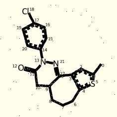 Cc1cc2c(s1)CCCC1CC(=O)N(c3ccc(Cl)cc3)N=C21